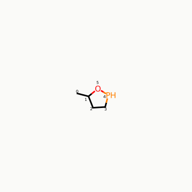 CC1CCPO1